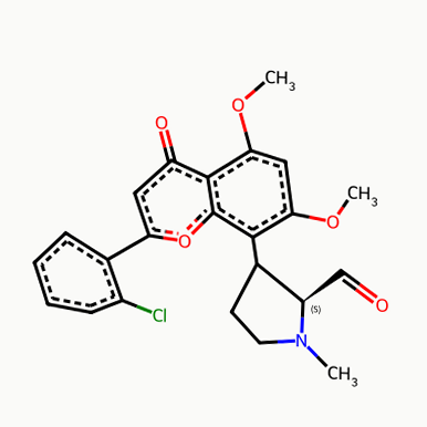 COc1cc(OC)c2c(=O)cc(-c3ccccc3Cl)oc2c1C1CCN(C)[C@@H]1C=O